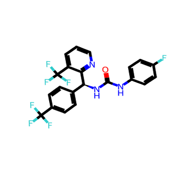 O=C(Nc1ccc(F)cc1)N[C@@H](c1ccc(C(F)(F)F)cc1)c1ncccc1C(F)(F)F